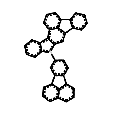 c1ccc2c(c1)-c1cccc3c1c-2cc1c3c2ccccc2n1-c1ccc2c(c1)-c1cccc3cccc-2c13